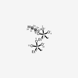 CCP(C)([O-])([O-])[O-].CCP(C)([O-])([O-])[O-].[Mg+2].[Mg+2].[Mg+2]